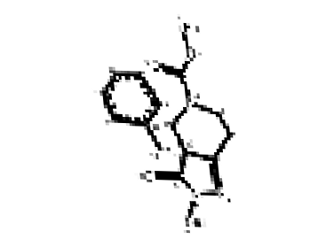 CC(C)(C)OC(=O)N1CCC2=NN(C(C)(C)C)C(=O)[C@@]2(Cc2ccccc2)C1